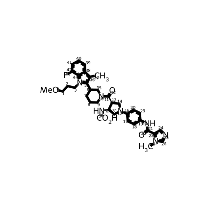 COCCCn1c(C2CCCN(C(=O)[C@H]3CN(c4ccc(NC(=O)c5cncn5C)cc4)C[C@H]3NC(=O)O)C2)c(C)c2cccc(F)c21